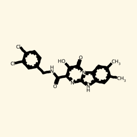 Cc1cc2[nH]c3nc(C(=O)NCc4ccc(Cl)c(Cl)c4)c(O)c(=O)n3c2cc1C